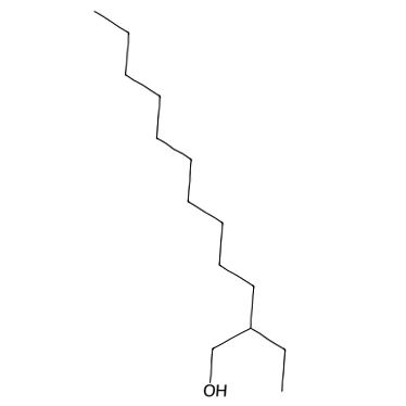 CCCCCCCCCCC(CC)CO